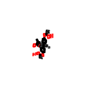 CC1=COC1=O.CCC(O)Oc1ccc(C(c2ccc(OC(O)CC)cc2)(C(F)(F)F)C(F)(F)F)cc1